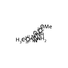 [CH2]Oc1ccc(NC(=O)c2nc(-c3ccc(C)cc3)cnc2N)cc1